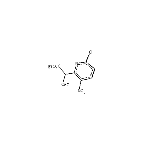 CCOC(=O)C(C=O)c1nc(Cl)ccc1[N+](=O)[O-]